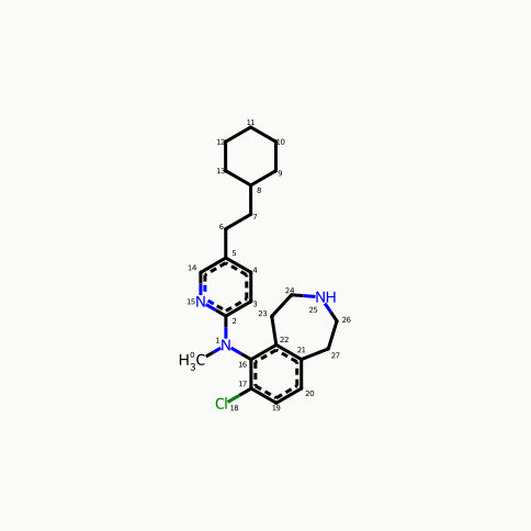 CN(c1ccc(CCC2CCCCC2)cn1)c1c(Cl)ccc2c1CCNCC2